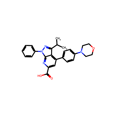 CC(C)c1nn(-c2ccccc2)c2nc(C(=O)O)cc(-c3ccc(N4CCOCC4)cc3)c12